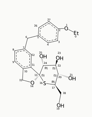 CCOc1ccc(Cc2ccc3c(c2)[C@]2(OC3)S[C@H](CO)[C@@H](O)[C@H](O)[C@H]2O)cc1